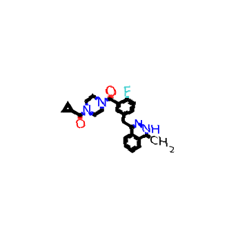 C=C1NN=C(Cc2ccc(F)c(C(=O)N3CCN(C(=O)C4CC4)CC3)c2)c2ccccc21